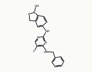 OB1OCc2cc(Nc3ncc(F)c(NCc4ccccc4)n3)ccc21